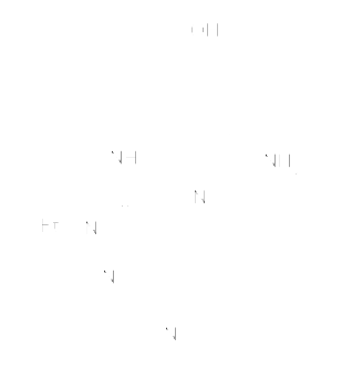 CCN1N=C(CN(C)C)C(=Nc2cc(C)c(O)cc2N)C1=N